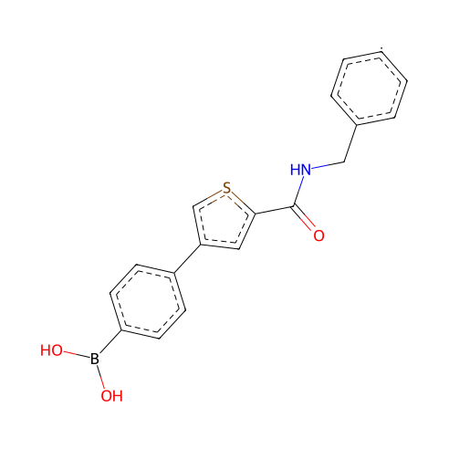 O=C(NCc1cc[c]cc1)c1cc(-c2ccc(B(O)O)cc2)cs1